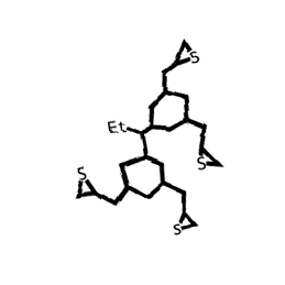 CCC(C1CC(CC2CS2)CC(CC2CS2)C1)C1CC(CC2CS2)CC(CC2CS2)C1